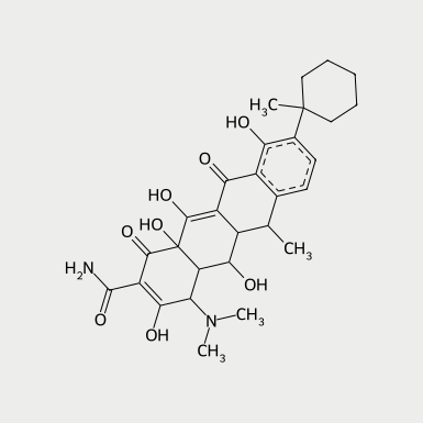 CC1c2ccc(C3(C)CCCCC3)c(O)c2C(=O)C2=C(O)C3(O)C(=O)C(C(N)=O)=C(O)C(N(C)C)C3C(O)C21